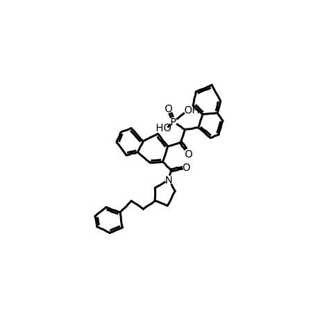 O=C(c1cc2ccccc2cc1C(=O)N1CCC(CCc2ccccc2)C1)C(c1cccc2ccccc12)P(=O)(O)O